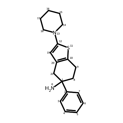 NC1(c2ccccc2)CCc2sc(N3CCCCC3)cc2C1